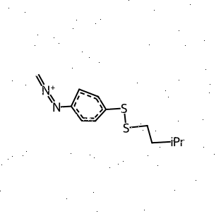 C=[N+]=Nc1ccc(SSCCC(C)C)cc1